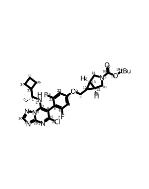 C[C@@H](Nc1c(-c2c(F)cc(OCC3[C@H]4CN(C(=O)OC(C)(C)C)C[C@@H]34)cc2F)c(Cl)nc2ncnn12)C1CCC1